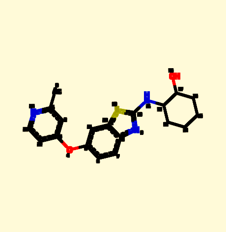 CC(=O)c1cc(Oc2ccc3nc(NC4CCCCC4O)sc3c2)ccn1